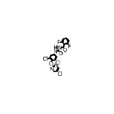 O=C(NC(=O)c1c(F)cccc1F)Nc1cc(Cl)c(Oc2ncc(Cl)cn2)c(Cl)c1